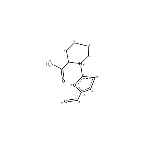 NC(=O)C1CCCCN1c1ccc(C=O)o1